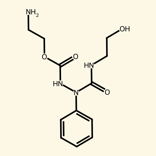 NCCOC(=O)NN(C(=O)NCCO)c1ccccc1